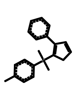 Cc1ccc([Si](C)(C)C2=C(c3ccccc3)C=CC2)cc1